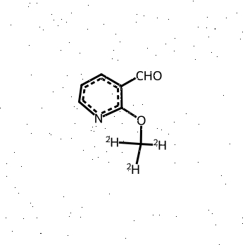 [2H]C([2H])([2H])Oc1ncccc1C=O